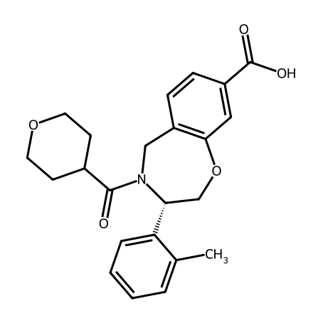 Cc1ccccc1[C@H]1COc2cc(C(=O)O)ccc2CN1C(=O)C1CCOCC1